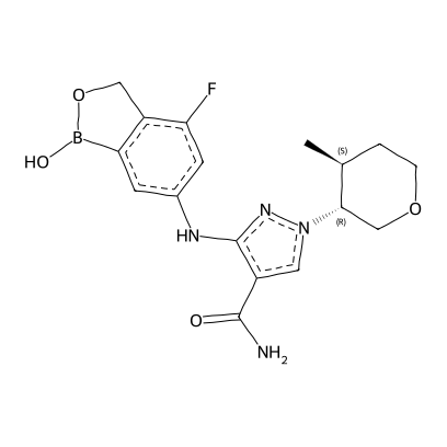 C[C@H]1CCOC[C@@H]1n1cc(C(N)=O)c(Nc2cc(F)c3c(c2)B(O)OC3)n1